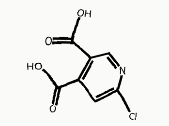 O=C(O)c1cnc(Cl)cc1C(=O)O